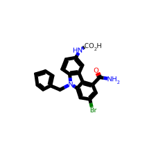 NC(=O)c1cc(Br)cc2c1c1cc(NC(=O)O)ccc1n2Cc1ccccc1